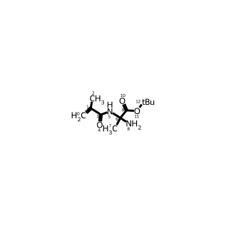 C=C(C)C(=O)NC(C)(N)C(=O)OC(C)(C)C